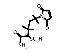 CC(C)(CC(C)(C)N1C(=O)C=CC1=O)C(C(N)=O)S(=O)(=O)O